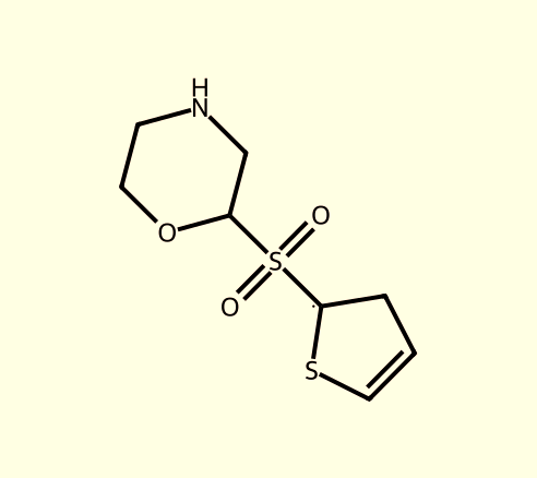 O=S(=O)([C]1CC=CS1)C1CNCCO1